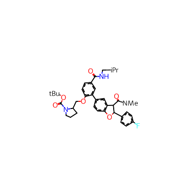 CNC(=O)C1c2cc(-c3cc(C(=O)NCC(C)C)ccc3OCC3CCCN3C(=O)OC(C)(C)C)ccc2OC1c1ccc(F)cc1